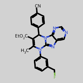 CCOC(=O)C1=C(C)N(c2cccc(CF)c2)c2nc3cncnc3n2C1c1ccc(C#N)cc1